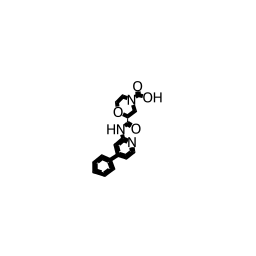 O=C(Nc1cc(-c2ccccc2)ccn1)[C@H]1CN(C(=O)O)CCO1